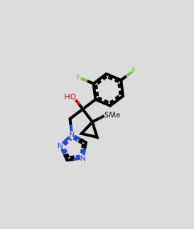 CSC1(C(O)(Cn2cncn2)c2ccc(F)cc2F)CC1